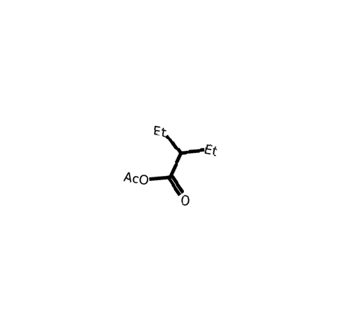 CCC(CC)C(=O)OC(C)=O